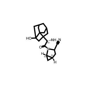 N#CC1C[C@@H]2C[C@@H]2N1C(=O)[C@@H](N)C12CC3CC4CC(O)(C1)C2(C4)C3